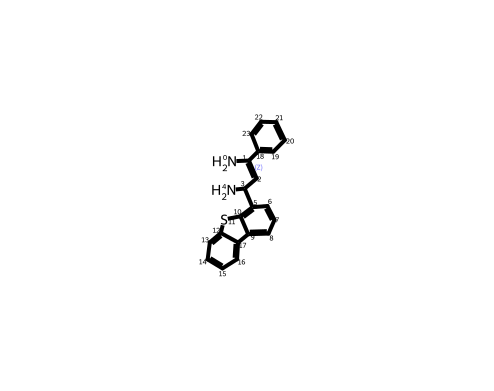 N/C(=C\C(N)c1cccc2c1sc1ccccc12)c1ccccc1